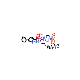 CNCCC[C@H](NC(=O)c1ccc(-c2ccccc2)cc1)C(=O)N1CCN(S(C)(=O)=O)CC1